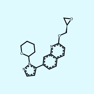 c1cc(-c2ccc3ccc(OC[C@H]4CO4)nc3c2)n(C2CCCCO2)n1